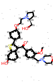 COc1cc(C(=O)c2c(-c3ccc(OCCN4CCC[C@H]4CO)cc3)sc3cc(O)ccc23)ccc1CN1CCOCC1